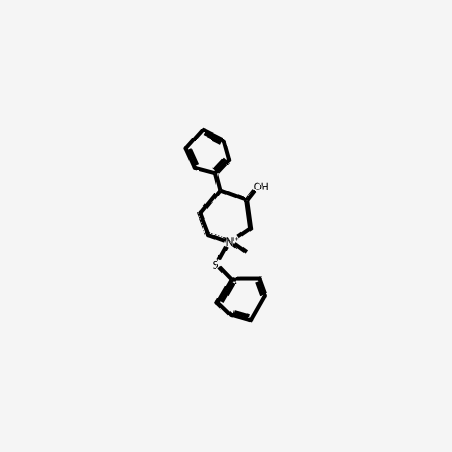 C[N+]1(Sc2ccccc2)CCC(c2ccccc2)C(O)C1